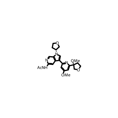 COc1cc(-c2cn([C@@H]3CCOC3)c3cnc(NC(C)=O)cc23)nc([C@]2(OC)CCOC2)c1